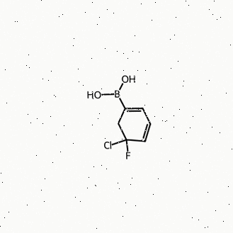 OB(O)C1=CC=CC(F)(Cl)C1